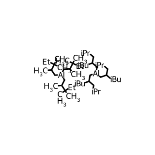 CCC(C)(C)C(C)[CH2][Al]([CH2]C(C)C(C)(C)CC)[CH2]C(C)C(C)(C)CC.CCC(C)C(CC(C)C)[CH2][Al]([CH2]C(CC(C)C)C(C)CC)[CH2]C(CC(C)C)C(C)CC